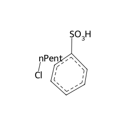 CCCCCCl.O=S(=O)(O)c1ccccc1